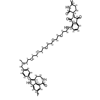 CN(CCOCCOCCOCCOCCOCCNc1cccc2c1C(=O)N(C1CCC(=O)NC1=O)C2=O)Cc1ccc(-c2[nH]c3cc(F)cc4c3c2CCNC4=O)cc1